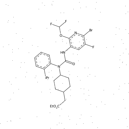 CCOC(=O)CC1CCC(N(C(=O)Nc2cc(F)c(Br)nc2OC(F)F)c2ccccc2C(C)C)CC1